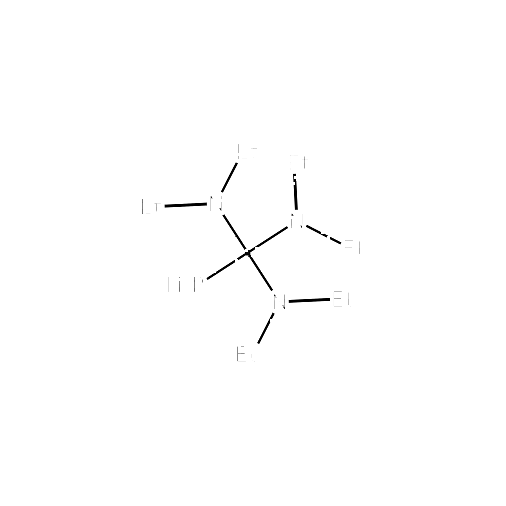 CCN(CC)C(P)(N(CC)CC)N(CC)CC